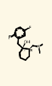 CN(C)C[C@H]1CCCC[C@]1(O)Cc1cc(F)ccc1F